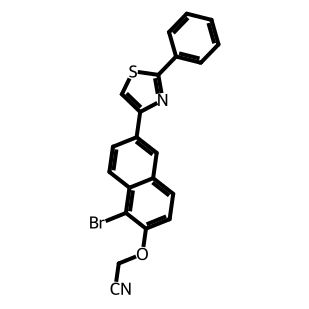 N#CCOc1ccc2cc(-c3csc(-c4ccccc4)n3)ccc2c1Br